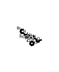 COc1cccc(OC)c1-n1c(NS(=O)(=O)[C@H](C)[C@H](O)c2ncc(Br)cc2F)nnc1-c1ccc(C)o1